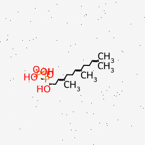 CC(C)=CCC/C(C)=C/CC/C(C)=C/CC(O)[PH](=O)CP(=O)(O)O